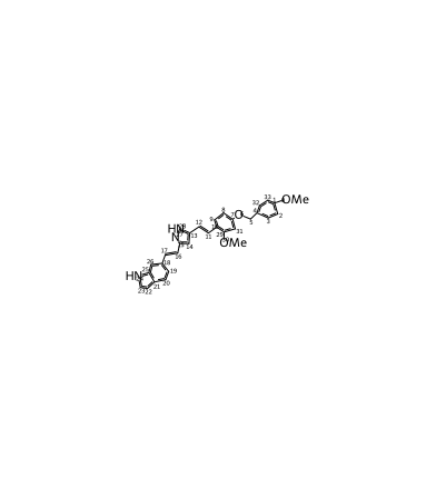 COc1ccc(COc2ccc(C=Cc3cc(C=Cc4ccc5cc[nH]c5c4)n[nH]3)c(OC)c2)cc1